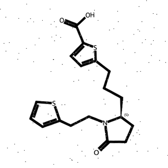 O=C(O)c1ccc(CCC[C@H]2CCC(=O)N2CCc2cccs2)s1